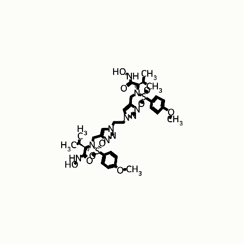 COc1ccc(S(=O)(=O)N(Cc2cn(CCn3cc(CN([C@@H](C(=O)NO)C(C)C)S(=O)(=O)c4ccc(OC)cc4)nn3)nn2)[C@@H](C(=O)NO)C(C)C)cc1